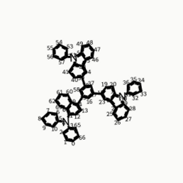 c1ccc(N(c2ccccc2)c2ccc(-c3cc(-c4ccc5c(c4)c4ccccc4n5-c4ccccc4)cc(-c4ccc5c(c4)c4ccccc4n5-c4ccccc4)c3)c3ccccc23)cc1